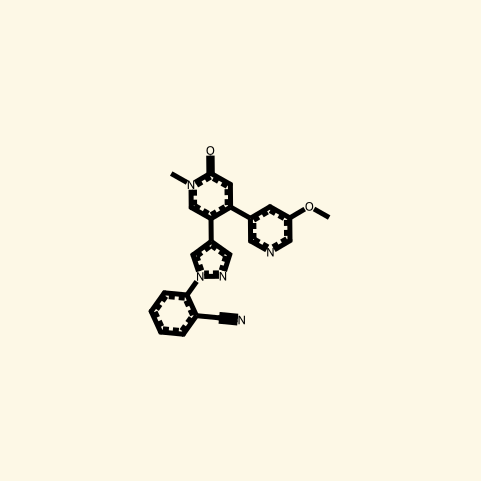 COc1cncc(-c2cc(=O)n(C)cc2-c2cnn(-c3ccccc3C#N)c2)c1